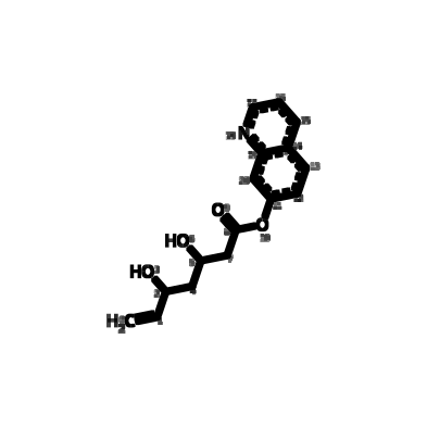 C=CC(O)CC(O)CC(=O)Oc1ccc2cccnc2c1